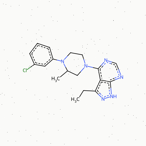 CCc1n[nH]c2ncnc(N3CCN(c4cccc(Cl)c4)C(C)C3)c12